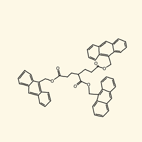 O=C(CCC(CCC(=O)OCc1c2ccccc2cc2ccccc12)C(=O)OCc1c2ccccc2cc2ccccc12)OCc1c2ccccc2cc2ccccc12